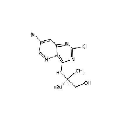 CCCC[C@](C)(CO)Nc1nc(Cl)nc2cc(Br)cnc12